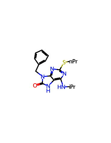 CCCSc1nc(NC(C)C)c2[nH]c(=O)n(Cc3ccccc3)c2n1